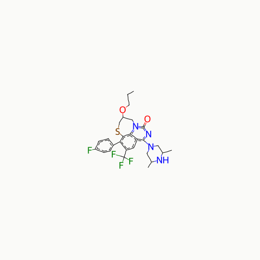 CCCOC1CSc2c(-c3ccc(F)cc3)c(C(F)(F)F)cc3c(N4CC(C)NC(C)C4)nc(=O)n(c23)C1